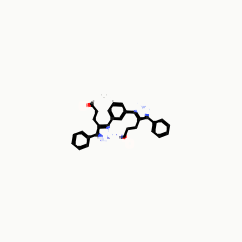 COC(=O)CCc1c(-c2ccccc2)n[nH]c1-c1cccc(-c2[nH]nc(-c3ccccc3)c2CCC(=O)OC)c1